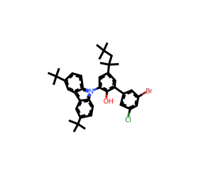 CC(C)(C)CC(C)(C)c1cc(-c2cc(Cl)cc(Br)c2)c(O)c(-n2c3ccc(C(C)(C)C)cc3c3cc(C(C)(C)C)ccc32)c1